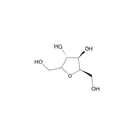 OC[C]1O[C@H](CO)[C@H](O)[C@H]1O